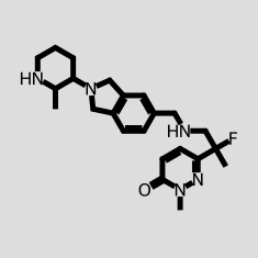 CC1NCCCC1N1Cc2ccc(CNCC(C)(F)c3ccc(=O)n(C)n3)cc2C1